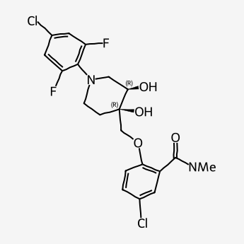 CNC(=O)c1cc(Cl)ccc1OC[C@]1(O)CCN(c2c(F)cc(Cl)cc2F)C[C@H]1O